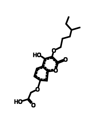 CCC(C)CCCOc1c(O)c2ccc(OCC(=O)O)cc2oc1=O